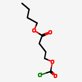 CCCCOC(=O)CCCOC(=O)Cl